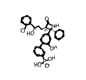 O=C1N[C@@](c2ccccc2)(c2ccc(-c3cccc(P(=O)(O)O)c3)c(O)c2)[C@H]1CC[C@H](O)c1ccccc1Cl